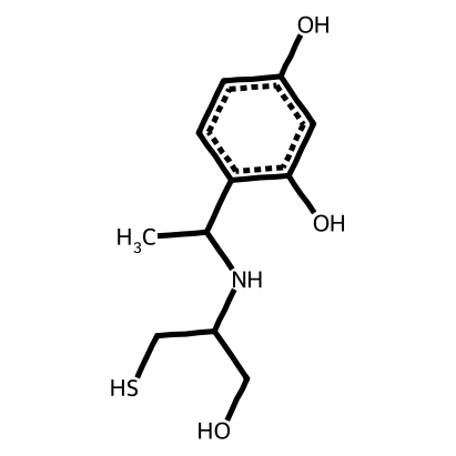 CC(NC(CO)CS)c1ccc(O)cc1O